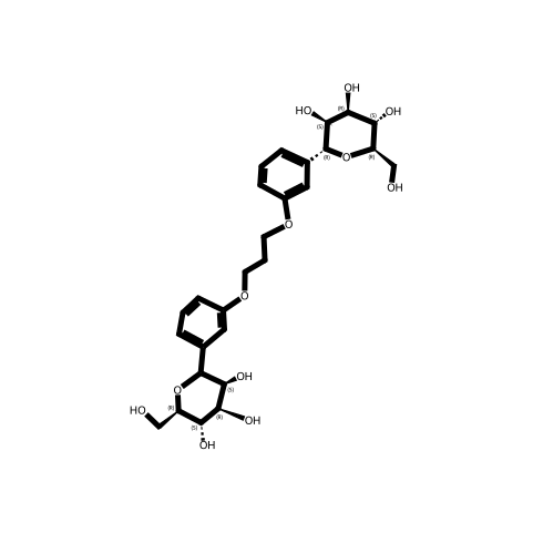 OC[C@H]1O[C@H](c2cccc(OCCCOc3cccc(C4O[C@H](CO)[C@@H](O)[C@H](O)[C@@H]4O)c3)c2)[C@@H](O)[C@@H](O)[C@@H]1O